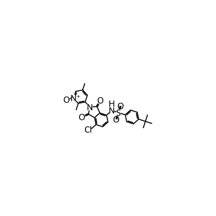 Cc1cc(N2C(=O)c3c(Cl)ccc(NS(=O)(=O)c4ccc(C(C)(C)C)cc4)c3C2=O)c(C)[n+]([O-])c1